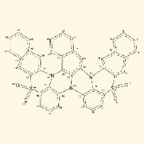 O=S1(=O)c2cc3ccccc3cc2N2c3cc4ccccc4c4c3B(c3cccc1c32)c1cccc2c1N4c1cc3ccccc3cc1S2(=O)=O